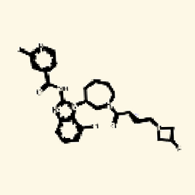 Cc1cc(C(=O)Nc2nc3cccc(Cl)c3n2C2CCCCN(C(=O)/C=C/CN3CC(F)C3)C2)ccn1